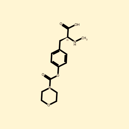 CN[C@@H](Cc1ccc(OC(=O)N2CCOCC2)cc1)C(=O)O